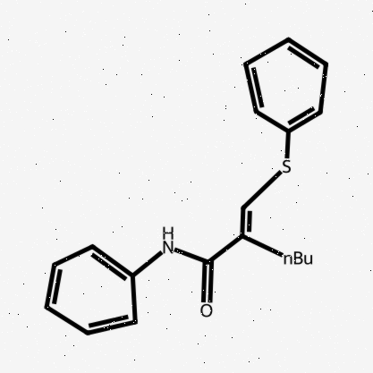 CCCC/C(=C\Sc1ccccc1)C(=O)Nc1ccccc1